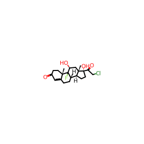 C[C@]12CCC(=O)C=C1CC[C@H]1[C@@H]3CC[C@](O)(C(=O)CCl)[C@@]3(C)C[C@H](O)C12F